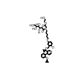 O=C([C@@H](O)[C@@H](O)[C@H](O)[C@@H](O)CO)N(CCCCCSc1ccc(Cl)c(COC2(c3cnccc3-c3ccccc3OC3CC3)CC2)c1)CCOCCO